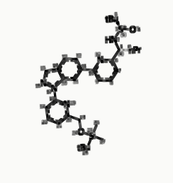 CCC[C@@H](N[S@+]([O-])C(C)(C)C)c1cccc(-c2ccc3cnn(-c4cccc(CO[Si](C)(C)C(C)(C)C)n4)c3c2)n1